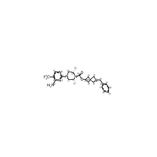 C[C@@H]1CN(c2ncc(C(F)(F)F)c(N)n2)C[C@H](C)N1C(=O)OC1CC2(C1)CN(Cc1ccccc1)C2